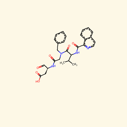 CC(C)C(NC(=O)c1nccc2ccccc12)C(=O)N(CC(=O)N[C@H](C=O)CC(=O)O)Cc1ccccc1